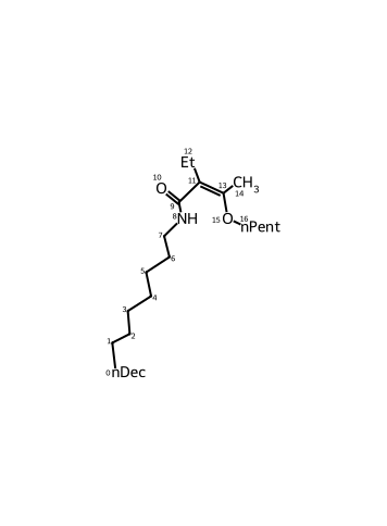 CCCCCCCCCCCCCCCCCNC(=O)C(CC)=C(C)OCCCCC